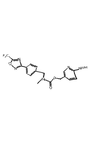 CC(=O)Nc1ccc(COC(=O)N(C)Cc2ccc(-c3noc(C(F)(F)F)n3)cc2)cn1